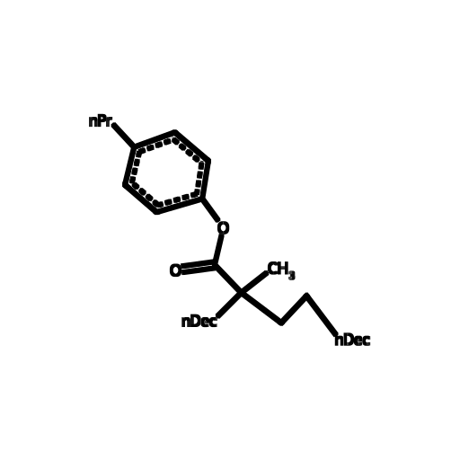 CCCCCCCCCCCCC(C)(CCCCCCCCCC)C(=O)Oc1ccc(CCC)cc1